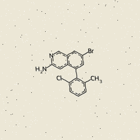 Cc1cccc(Cl)c1-c1cc(Br)cc2cnc(N)cc12